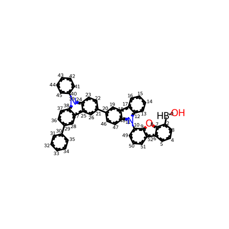 OBc1cccc2c1oc1c(-n3c4ccccc4c4cc(-c5ccc6c(c5)c5cc(-c7ccccc7)ccc5n6-c5ccccc5)ccc43)cccc12